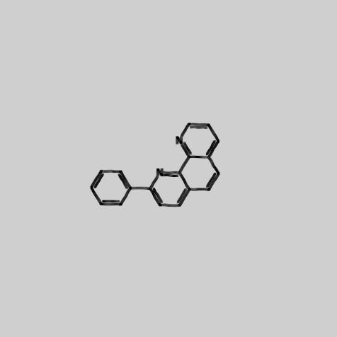 c1ccc(-c2ccc3ccc4cccnc4c3n2)cc1